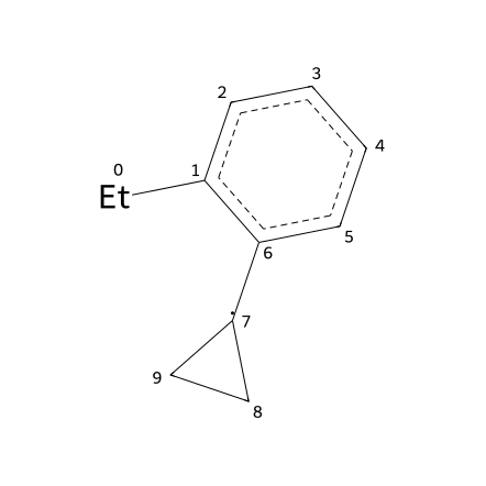 CCc1ccccc1[C]1CC1